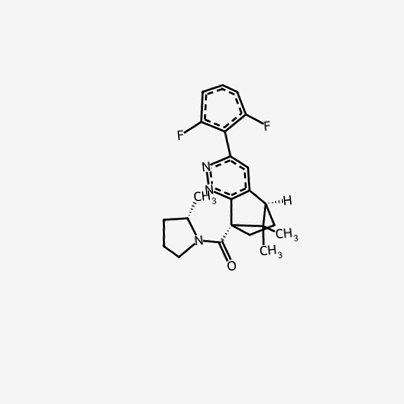 C[C@H]1CCCN1C(=O)[C@]12CC[C@H](c3cc(-c4c(F)cccc4F)nnc31)C2(C)C